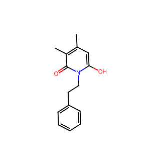 Cc1cc(O)n(CCc2ccccc2)c(=O)c1C